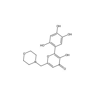 O=c1cc(CN2CCOCC2)oc(-c2cc(O)c(O)cc2O)c1O